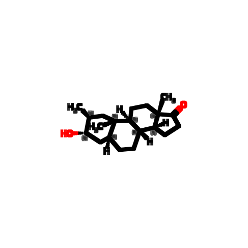 C[C@H]1C[C@@]2(C)[C@@H](CC[C@@H]3[C@@H]2CC[C@]2(C)C(=O)CC[C@@H]32)C[C@@H]1O